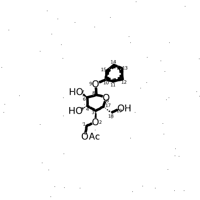 CC(=O)OCO[C@H]1[C@H](O)[C@@H](O)C(Oc2ccccc2)O[C@@H]1CO